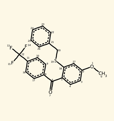 COc1ccc(C(=O)c2ccc(C(F)(F)F)cc2)c(SCc2ccccc2)c1